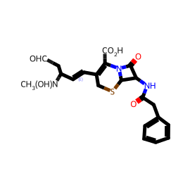 CN(O)C(/C=C/C1=C(C(=O)O)N2C(=O)C(NC(=O)Cc3ccccc3)C2SC1)CC=O